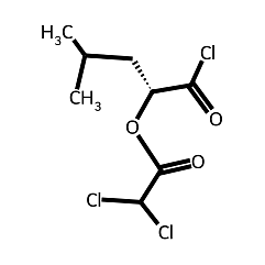 CC(C)C[C@@H](OC(=O)C(Cl)Cl)C(=O)Cl